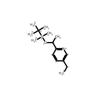 CCc1ccc(C(C)O[Si](C)(C)C(C)(C)C)nc1